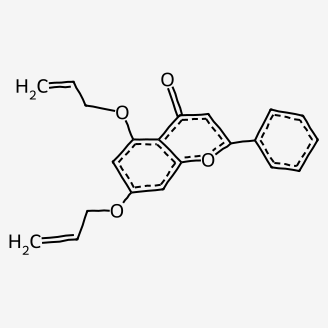 C=CCOc1cc(OCC=C)c2c(=O)cc(-c3ccccc3)oc2c1